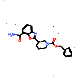 NC(=O)c1cccc2nc(C3CCCN(C(=O)OCc4ccccc4)C3)oc12